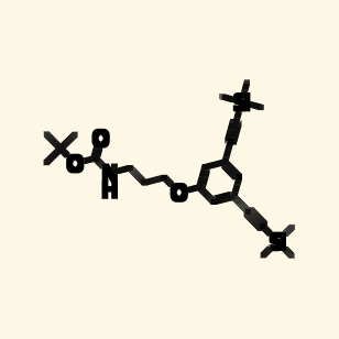 CC(C)(C)OC(=O)NCCCOc1cc(C#C[Si](C)(C)C)cc(C#C[Si](C)(C)C)c1